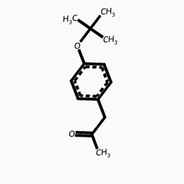 CC(=O)Cc1ccc(OC(C)(C)C)cc1